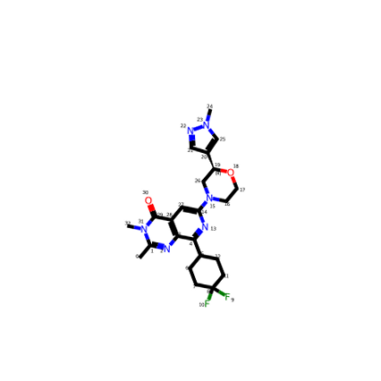 Cc1nc2c(C3CCC(F)(F)CC3)nc(N3CCO[C@H](c4cnn(C)c4)C3)cc2c(=O)n1C